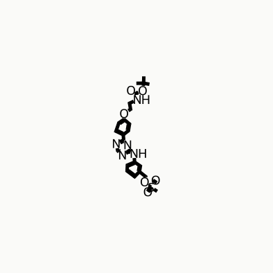 CC(C)(C)OC(=O)NCCOc1ccc(-c2ncnc(Nc3cccc(COS(C)(=O)=O)c3)n2)cc1